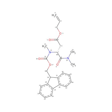 C=CCOC(=O)C[C@H](C(=O)N(C)C)N(C)C(=O)OCC1c2ccccc2-c2ccccc21